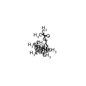 C=C(C)C(=O)OCCC[Si](C)(C)O[Si](C)(C)O[Si](C)(C)O[Si](C)(C)C